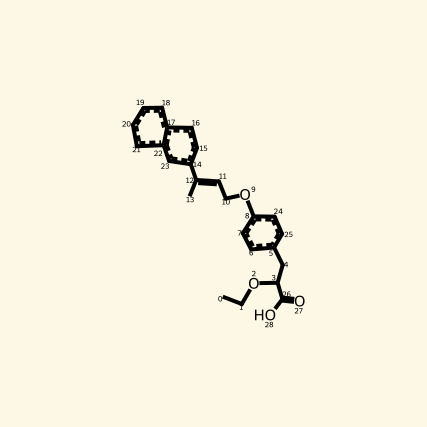 CCOC(Cc1ccc(OCC=C(C)c2ccc3ccccc3c2)cc1)C(=O)O